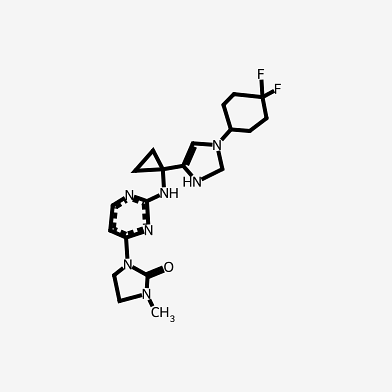 CN1CCN(c2ccnc(NC3(C4=CN(C5CCC(F)(F)CC5)CN4)CC3)n2)C1=O